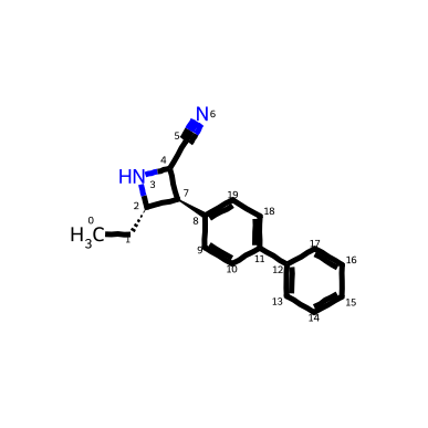 CC[C@@H]1NC(C#N)[C@H]1c1ccc(-c2ccccc2)cc1